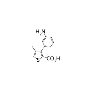 Cc1csc(C(=O)O)c1-c1cccc(N)c1